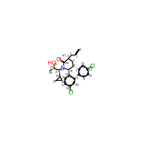 C=CC[C@@]1(C)C[C@H](c2cccc(Cl)c2)[C@@H](c2ccc(Cl)cc2)N([C@@H](C2CC2)[C@@H](C)O)C1=O